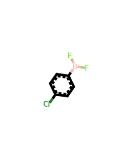 FB(F)c1ccc(Cl)cc1